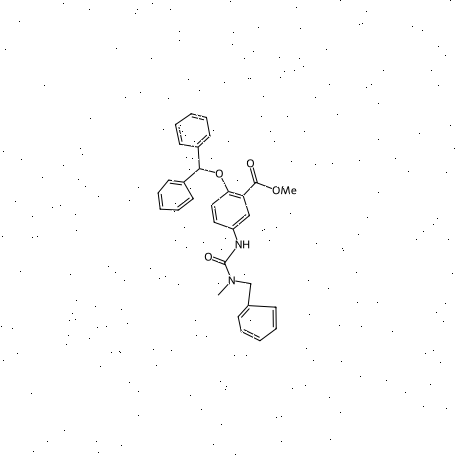 COC(=O)c1cc(NC(=O)N(C)Cc2ccccc2)ccc1OC(c1ccccc1)c1ccccc1